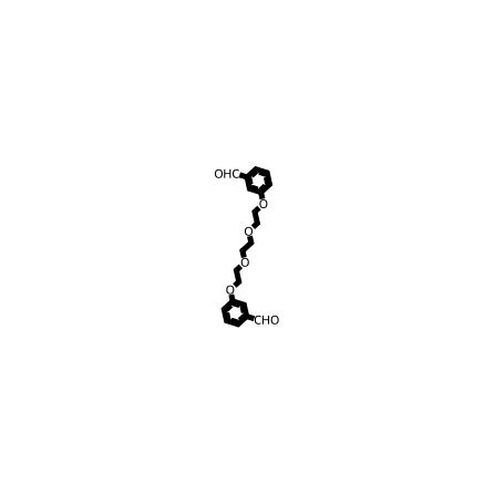 O=Cc1cccc(OCCOCCOCCOc2cccc(C=O)c2)c1